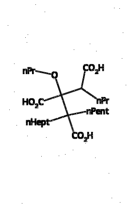 CCCCCCCC(CCCCC)(C(=O)O)C(OCCC)(C(=O)O)C(CCC)C(=O)O